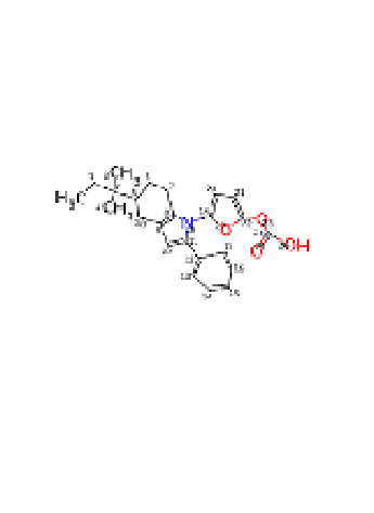 CCC(C)(C)C1CCc2c(cc(-c3ccccc3)n2-c2ccc(OC(=O)O)o2)C1